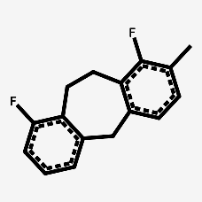 Cc1ccc2c(c1F)CCc1c(F)cccc1C2